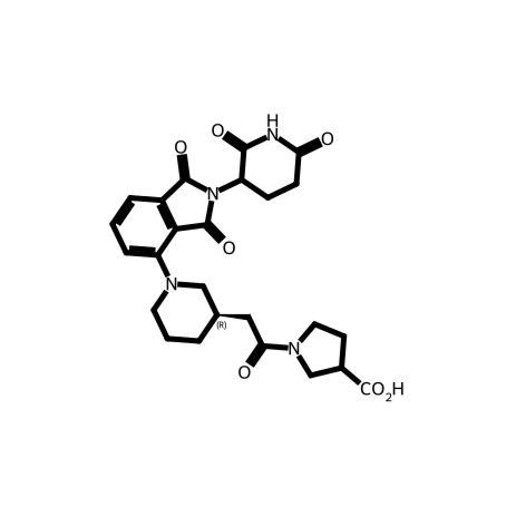 O=C1CCC(N2C(=O)c3cccc(N4CCC[C@H](CC(=O)N5CCC(C(=O)O)C5)C4)c3C2=O)C(=O)N1